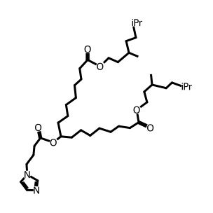 CC(C)CCC(C)CCOC(=O)CCCCCCCC(CCCCCCCC(=O)OCCC(C)CCC(C)C)OC(=O)CCCn1ccnc1